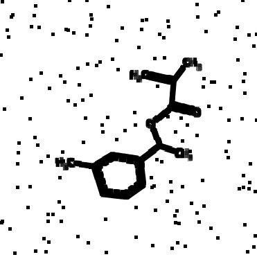 C=C(C)C(=O)OC(C)c1cccc(C)c1